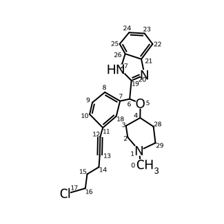 CN1CCC(OC(c2cccc(C#CCCCCl)c2)c2nc3ccccc3[nH]2)CC1